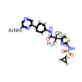 CC(=O)Nc1cncc(-c2ccc(NC(=O)C(C)(C)c3csc(NS(=O)(=O)C4CC4)n3)cc2)n1